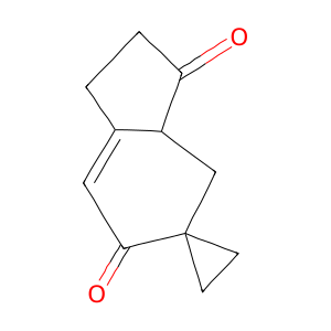 O=C1CCC2=CC(=O)C3(CC3)CC12